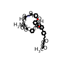 CC(=O)OCOC(=O)CCc1ccc(-c2ccc(C[C@@H]3NC(=O)[C@]4(Cc5ccccc5)CCCN(C4)C(=O)/C=C/C(=O)NCC[C@@H](C(N)=O)NC(=O)Cc4ccccc4CNC3=O)cc2)cc1